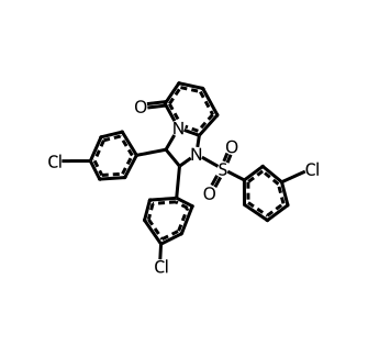 O=c1cccc2n1C(c1ccc(Cl)cc1)C(c1ccc(Cl)cc1)N2S(=O)(=O)c1cccc(Cl)c1